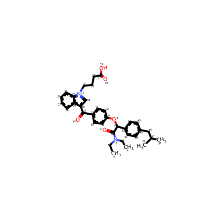 CCN(CC)C(=O)C(Oc1ccc(C(=O)c2cn(CCCC(=O)O)c3ccccc23)cc1)c1ccc(CC(C)C)cc1